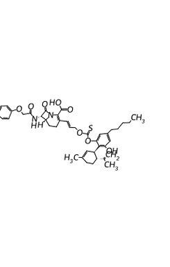 C=C(C)[C@@H]1CCC(C)=C[C@H]1c1c(O)cc(CCCCC)cc1OC(=S)OC/C=C/C1=C(C(=O)O)N2C(=O)[C@@H](NC(=O)COc3ccccc3)[C@H]2CC1